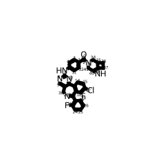 O=C(c1ccc(Nc2ncc3c(n2)-c2ccc(Cl)cc2C(c2c(F)cccc2F)=NC3)cc1)N1CC2CCC23NC3C1